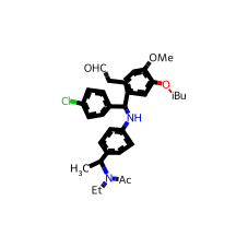 CC[C@@H](C)Oc1cc(C(Nc2ccc(C(C)N(CC)C(C)=O)cc2)c2ccc(Cl)cc2)c(CC=O)cc1OC